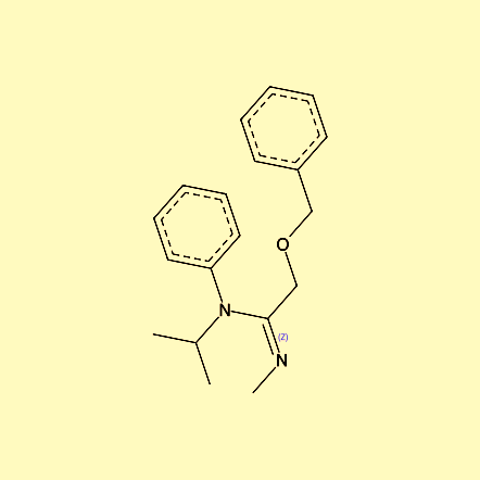 C/N=C(/COCc1ccccc1)N(c1ccccc1)C(C)C